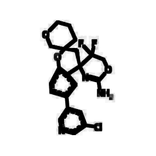 NC1=N[C@@]2(C[C@@]3(CCCOC3)Oc3ccc(-c4cncc(Cl)c4)cc32)C(F)(F)CO1